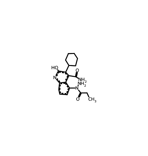 CCC(=O)N(N)c1cccc2nc(O)c(C3CCCCC3)c(C(N)=O)c12